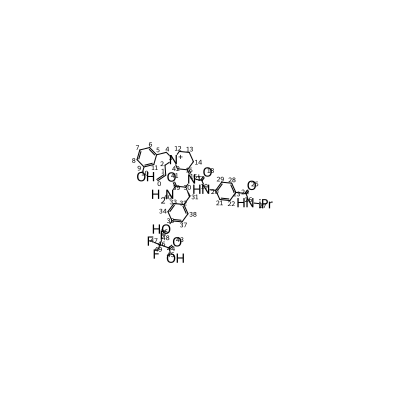 C=CC[N+]1(Cc2cccc(O)c2)CCC/C(=[N+](\C(=O)Nc2ccc(C(=O)NC(C)C)cc2)[C@@H](Cc2ccc(O)cc2)C(N)=O)C1.O=C(O)C(F)(F)F